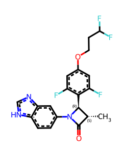 C[C@@H]1C(=O)N(c2ccc3[nH]cnc3c2)[C@H]1c1c(F)cc(OCCC(F)F)cc1F